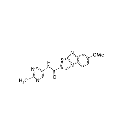 COc1ccc2c(c1)nc1sc(C(=O)Nc3cnc(C)nc3)cn12